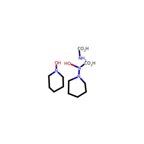 NC(=O)O.O=C(O)N(O)N1CCCCC1.ON1CCCCC1